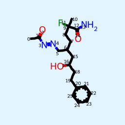 CC(=O)N=NCC(CCC(C)(F)C(N)=O)CC(O)[CH]Cc1ccccc1